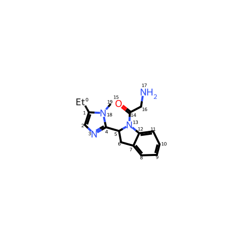 CCc1cnc(C2Cc3ccccc3N2C(=O)CN)n1C